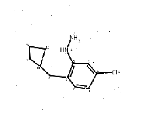 NNc1cc(Cl)ccc1CC1CCC1